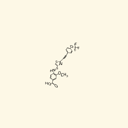 COc1cc(C(=O)O)ccc1NSc1csc(C#Cc2ccc(OC(F)(F)F)cc2)n1